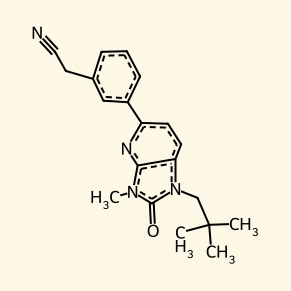 Cn1c(=O)n(CC(C)(C)C)c2ccc(-c3cccc(CC#N)c3)nc21